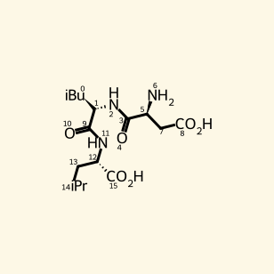 CC[C@H](C)[C@H](NC(=O)[C@@H](N)CC(=O)O)C(=O)N[C@@H](CC(C)C)C(=O)O